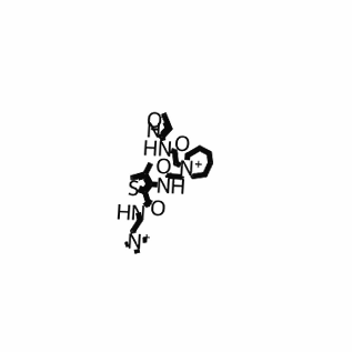 Cc1csc(C(=O)NCC[N+](C)(C)C)c1NC(=O)C[N+]1(CC(=O)Nc2ccon2)CCCCCC1